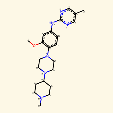 COc1cc(Nc2ncc(C)cn2)ccc1N1CCN(C2CCN(C)CC2)CC1